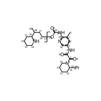 Cc1cc(NC(=O)C(=O)N2CCCCC2C(C)C)cnc1NC(=O)OC(C)(C)CCC(C)C1CCCCN1